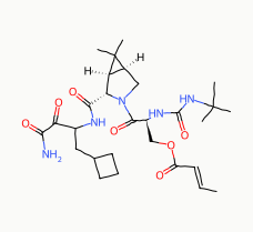 C/C=C/C(=O)OC[C@H](NC(=O)NC(C)(C)C)C(=O)N1C[C@H]2[C@@H]([C@H]1C(=O)NC(CC1CCC1)C(=O)C(N)=O)C2(C)C